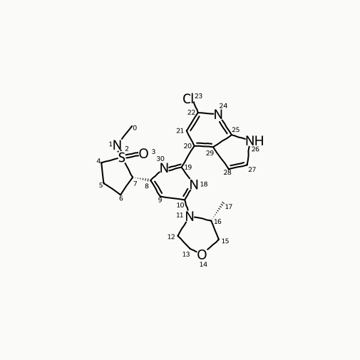 CN=S1(=O)CCC[C@H]1c1cc(N2CCOC[C@H]2C)nc(-c2cc(Cl)nc3[nH]ccc23)n1